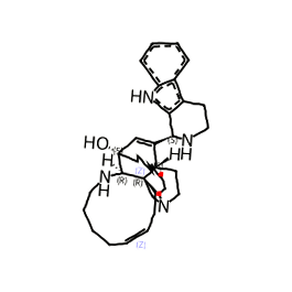 O[C@]12C=C([C@@H]3NCCc4c3[nH]c3ccccc43)[C@@H]3CCN(CCCC/C=C\CC1)C[C@@]31CC/C=C\CCCCN[C@H]12